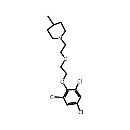 CC1CCN(CCOCCOc2c(Cl)cc(Cl)cc2Cl)CC1